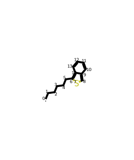 [CH2]CCCCCc1scc2ccccc12